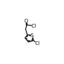 O=C(Cl)Cc1ccc(Cl)s1